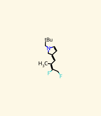 CC(/C=C1/C=CN(CC(C)(C)C)C1)=C(\F)CF